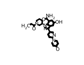 C=CC(=O)N1CCC[C@@H](n2nc(-c3ccc(-n4ccc(=O)cc4)nc3)c3cc(O)cc(C(N)=O)c32)C1